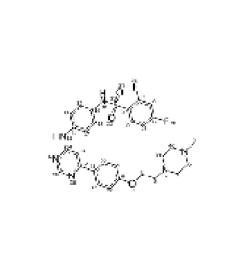 CN1CCN(CCOc2ccc(-c3cc(Nc4ccc(NS(=O)(=O)c5ccc(F)cc5F)cc4)ncn3)cc2)CC1